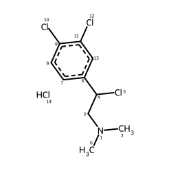 CN(C)CC(Cl)c1ccc(Cl)c(Cl)c1.Cl